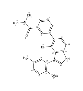 CCc1c(-c2cncc(C(=O)N(C)C)c2)cnc2[nH]cc(-c3cc(C)ccc3OC)c12